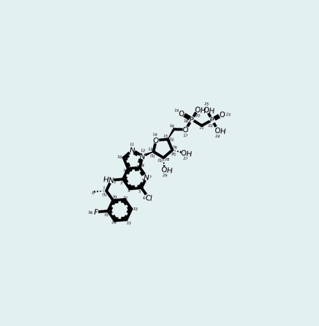 C[C@H](Nc1cc(Cl)nc2c1cnn2[C@H]1O[C@@H](COP(=O)(O)CP(=O)(O)O)[C@H](O)[C@@H]1O)c1ccccc1F